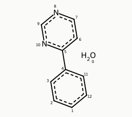 O.c1ccc(-c2ccncn2)cc1